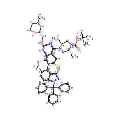 Cc1ccc2c(c(I)nn2C(c2ccccc2)(c2ccccc2)c2ccccc2)c1-c1c(Cl)cc2c(N3C[C@@H](C)N(C(=O)OC(C)(C)C)C[C@@H]3C)nc(OC[C@H]3CN(C)CCO3)nc2c1F